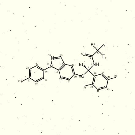 CC[C@](NC(=O)C(C)(F)F)(Oc1ccc2c(cnn2-c2ccc(F)cc2)c1)c1cc(C)ccc1C